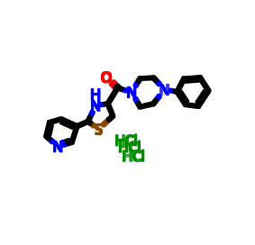 Cl.Cl.Cl.O=C(C1CSC(c2cccnc2)N1)N1CCN(c2ccccc2)CC1